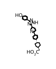 O=C(O)C[C@H]1CC[C@H](c2ccc(-c3ccc(-c4nc(-c5ccc(O)cc5)n[nH]4)cn3)cc2)CC1